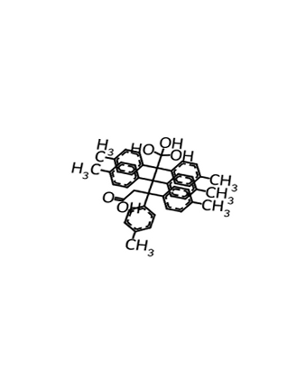 Cc1ccc(C(CC(=O)O)(c2ccc(C)cc2)C(c2ccc(C)cc2)(c2ccc(C)cc2)C(c2ccc(C)cc2)(c2ccc(C)cc2)C(O)(O)O)cc1